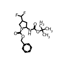 CC(C)(C)OC(=O)NC1CC(C(F)F)CN1C(=O)OCc1ccccc1